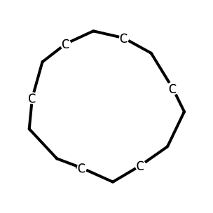 [CH]1CCCCCCCCCCCCC1